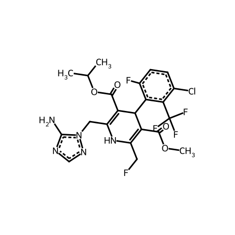 COC(=O)C1=C(CF)NC(Cn2ncnc2N)=C(C(=O)OC(C)C)C1c1c(F)ccc(Cl)c1C(F)(F)F